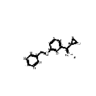 C=C(c1cccc(OCc2ccccc2)c1)C1CC1